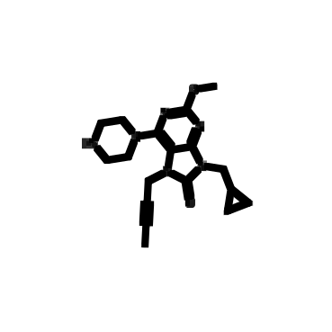 CC#CCn1c(=O)n(CC2CC2)c2nc(OC)nc(N3CCNCC3)c21